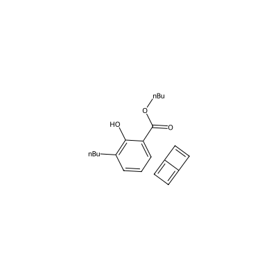 CCCCOC(=O)c1cccc(CCCC)c1O.c1cc2ccc1-2